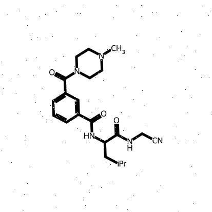 CC(C)CC(NC(=O)c1cccc(C(=O)N2CCN(C)CC2)c1)C(=O)NCC#N